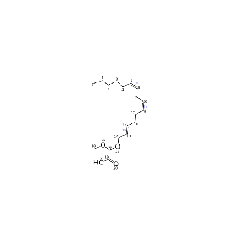 CCCCC/C=C\C/C=C\CC/C=C/COC(OC)C(=O)O